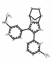 CNc1cc(-c2c(-c3cccc(C)n3)nc3n2C2CCC3C2)ccn1